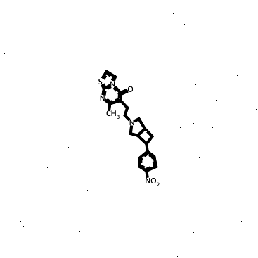 Cc1nc2sccn2c(=O)c1CCN1CC2CC(c3ccc([N+](=O)[O-])cc3)C2C1